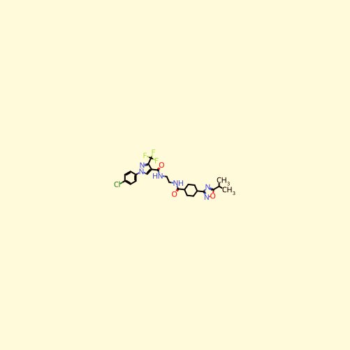 CC(C)c1nc(C2CCC(C(=O)NCCNC(=O)c3cn(-c4ccc(Cl)cc4)nc3C(F)(F)F)CC2)no1